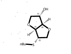 CCCCS[C@H]1CO[C@H]2[C@@H]1OC[C@@H]2O